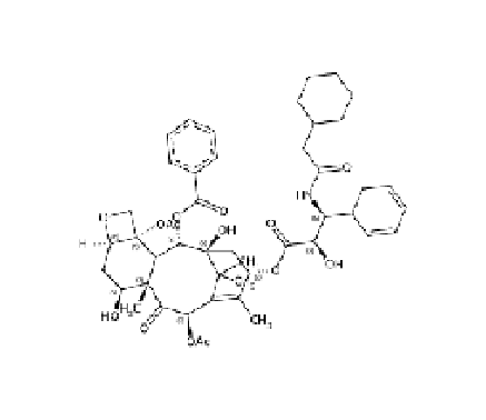 CC(=O)O[C@H]1C(=O)[C@@]2(C)C([C@H](OC(=O)c3ccccc3)[C@]3(O)C[C@H](OC(=O)[C@H](O)[C@@H](NC(=O)CC4CCCCC4)C4C=CC=CC4)C(C)=C1C3(C)C)[C@]1(OC(C)=O)CO[C@@H]1C[C@@H]2O